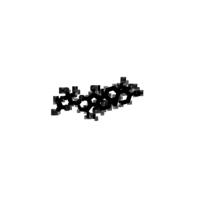 CCC(=O)O[C@@H]([C@H]1C[C@@H](C)C2C(O1)[C@H](O)[C@@]1(C)[C@@H]3CC[C@H]4C(C)(C)[C@@H](O)CC[C@@]45C[C@@]35CC[C@]21C)C(C)(C)O